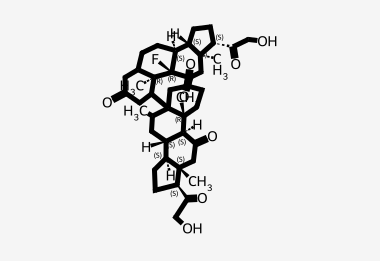 CC1C[C@H]2[C@@H]3CC[C@H](C(=O)CO)[C@@]3(C)CC(=O)[C@@H]2[C@@]2(C)CCC(=O)CC12C1CC(=O)CC2CC[C@H]3[C@@H]4CC[C@H](C(=O)CO)[C@@]4(C)CC(=O)[C@]3(F)[C@]21C